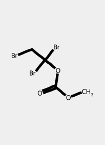 COC(=O)OC(Br)(Br)CBr